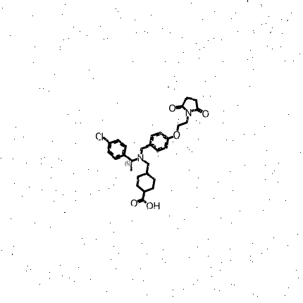 C[C@@H](c1ccc(Cl)cc1)N(Cc1ccc(OCCN2C(=O)CCC2=O)cc1)CC1CCC(C(=O)O)CC1